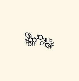 C[C@H]1CCC(NC(=O)c2ccnc(C(C)(F)F)c2)CC1c1cnc2c(c1)N1CCOCC1C(F)(F)[C@H]2O